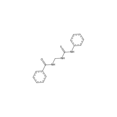 O=C(NCNC(=S)Nc1ccccc1)c1ccccc1